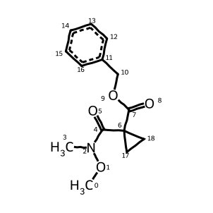 CON(C)C(=O)C1(C(=O)OCc2ccccc2)CC1